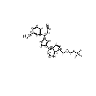 C[Si](C)(C)CCOCn1ccc2c(-c3cnn(C(CC#N)c4cccc(N)c4)c3)ncnc21